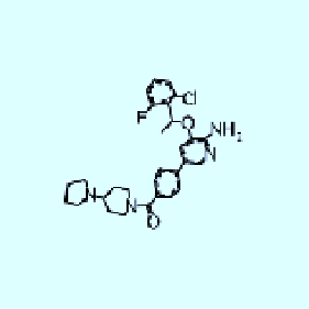 CC(Oc1cc(-c2ccc(C(=O)N3CCC(N4CCCC4)CC3)cc2)cnc1N)c1c(F)cccc1Cl